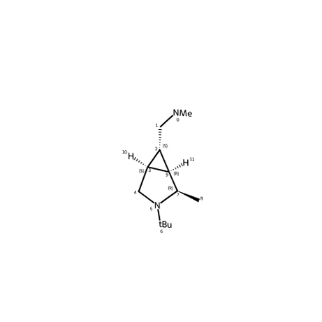 CNC[C@H]1[C@@H]2CN(C(C)(C)C)[C@H](C)[C@H]12